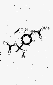 CC(=O)O.CCOC(C)(OC(=O)CC)c1ccc(NC(=O)OC)cc1